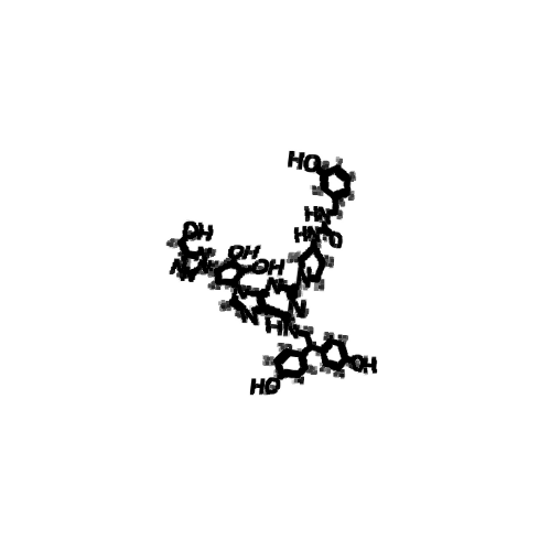 O=C(NCc1cccc(O)c1)NC1CCN(c2nc(NCC(c3ccc(O)cc3)c3ccc(O)cc3)c3ncn([C@@H]4C[C@H](n5nnc(CO)n5)[C@@H](O)[C@H]4O)c3n2)C1